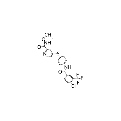 CONC(=O)c1cc(Sc2ccc(NC(=O)c3ccc(Cl)c(C(F)(F)F)c3)cc2)ccn1